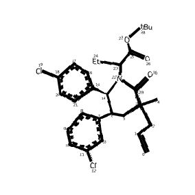 C=CCC1(C)CC(c2cccc(Cl)c2)[C@@H](c2ccc(Cl)cc2)N(C(CC)C(=O)OC(C)(C)C)C1=O